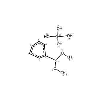 COP(OC)c1ccccc1.O[Si](O)(O)O